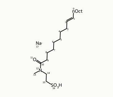 CCCCCCCCC=CCCCCCCCC(=O)N(C)CCS(=O)(=O)O.[Na]